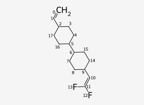 C=CC1CCC(C2CCC(C=C(F)F)CC2)CC1